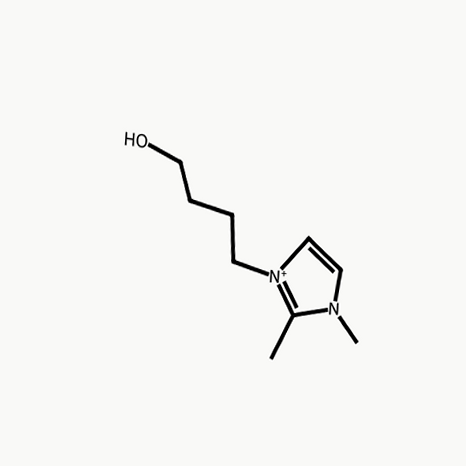 Cc1n(C)cc[n+]1CCCCO